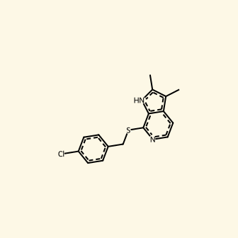 Cc1[nH]c2c(SCc3ccc(Cl)cc3)nccc2c1C